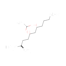 C=C(CCCCCCCCCCCCCCCCCC)C(=O)O.CCCC(O)O